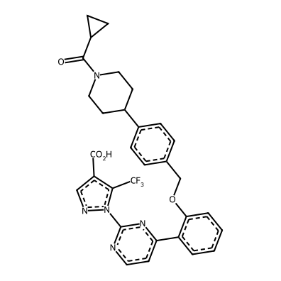 O=C(O)c1cnn(-c2nccc(-c3ccccc3OCc3ccc(C4CCN(C(=O)C5CC5)CC4)cc3)n2)c1C(F)(F)F